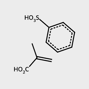 C=C(C)C(=O)O.O=S(=O)(O)c1ccccc1